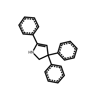 C1=C(c2ccccc2)NCC1(c1ccccc1)c1ccccc1